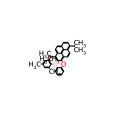 Cc1cc(C)c(B2c3ccccc3Oc3c2c(C(C)C)c2ccc4ccc(C(C)C)c5ccc3c2c45)c(C)c1